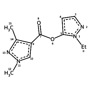 CCn1nccc1OC(=O)c1cn(C)nc1C